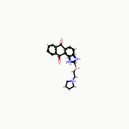 O=C1c2ccccc2C(=O)c2c1ccc1nc(SCCN3CCCC3)[nH]c21